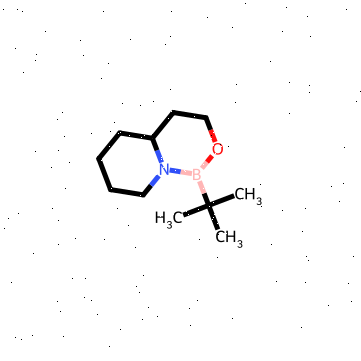 CC(C)(C)B1OCCC2CCCCN12